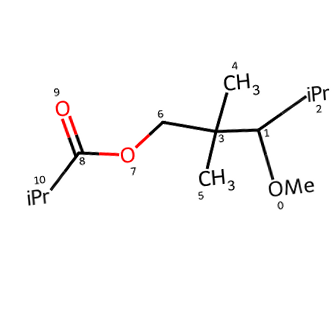 COC(C(C)C)C(C)(C)COC(=O)C(C)C